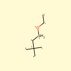 [CH2]CO[SiH2]CC(C)(C)C